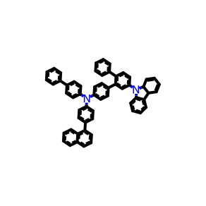 C1=CC2c3ccccc3N(c3ccc(-c4ccccc4)c(-c4ccc(N(c5ccc(-c6ccccc6)cc5)c5ccc(-c6cccc7ccccc67)cc5)cc4)c3)C2C=C1